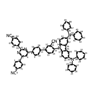 N#Cc1ccc(-c2cc(-c3ccc(-c4ccc(-n5c6ccc(N(c7ccccc7)c7ccccc7)cc6c6cc(N(c7ccccc7)c7ccccc7)ccc65)c(C#N)c4)cc3)nc(-c3ccc(C#N)cc3)n2)cc1